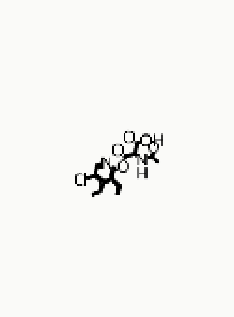 CCc1c(Cl)cnc(OC(=O)C(NC(C)=O)C(=O)O)c1CC